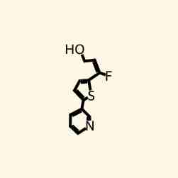 OC/C=C(/F)c1ccc(-c2cccnc2)s1